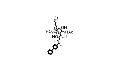 CCSCCCO[C@]1(C(=O)O)CC(O)[C@@H](NC(C)=O)[C@H]([C@H](O)[C@H](O)CNC(=O)c2ccc(-c3ccccc3)cc2)O1